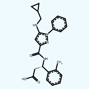 Cc1ccccc1[C@H](CC(=O)O)NC(=O)c1cc(NCC2CC2)n(-c2ccccc2)n1